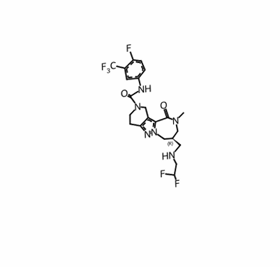 CN1C[C@@H](CNCC(F)F)Cn2nc3c(c2C1=O)CN(C(=O)Nc1ccc(F)c(C(F)(F)F)c1)CC3